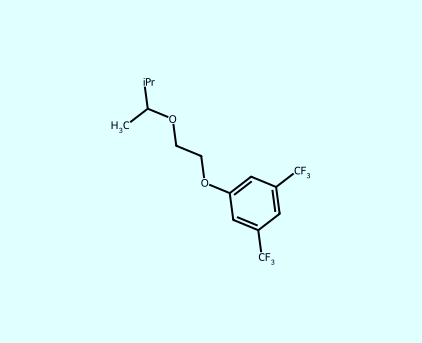 CC(C)C(C)OCCOc1cc(C(F)(F)F)cc(C(F)(F)F)c1